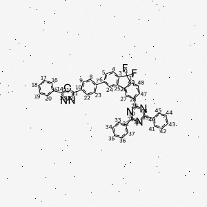 FC1(F)c2ccc(-c3ccc(-c4nnc(-c5ccccc5)o4)cc3)cc2-c2cc(-c3nc(-c4ccccc4)nc(-c4ccccc4)n3)ccc21